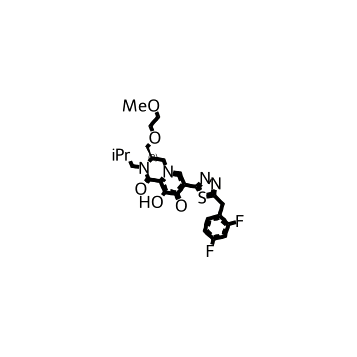 COCCOC[C@H]1Cn2cc(-c3nnc(Cc4ccc(F)cc4F)s3)c(=O)c(O)c2C(=O)N1CC(C)C